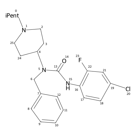 CCCC(C)N1CCC(N(Cc2ccccc2)C(=O)Nc2ccc(Cl)cc2F)CC1